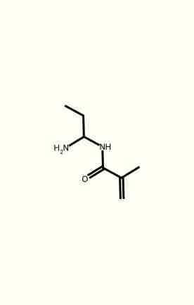 C=C(C)C(=O)NC(N)CC